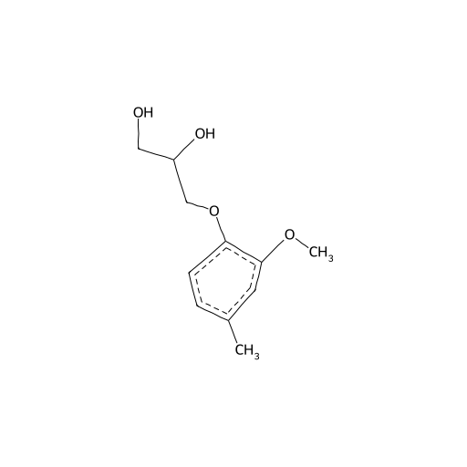 COc1cc(C)ccc1OCC(O)CO